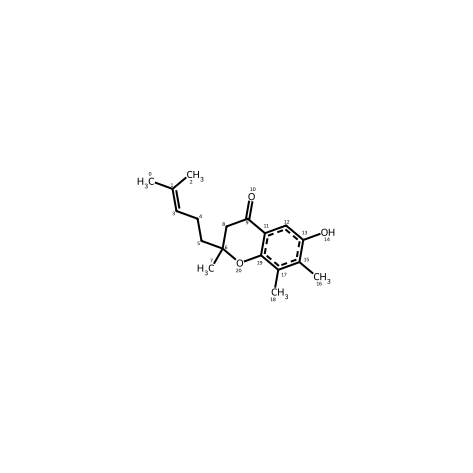 CC(C)=CCCC1(C)CC(=O)c2cc(O)c(C)c(C)c2O1